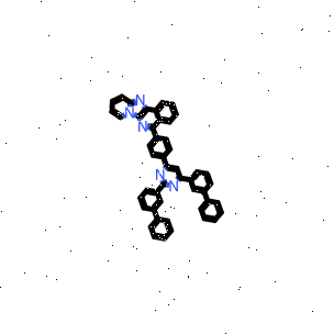 c1ccc(-c2cccc(-c3cc(-c4ccc(-c5nc6c(nc7ccccn76)c6ccccc56)cc4)nc(-c4cccc(-c5ccccc5)c4)n3)c2)cc1